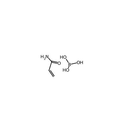 C=CC(N)=O.OB(O)O